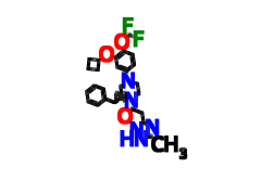 Cc1nc(CC(=O)N2CCN(c3ccc(OC(F)F)c(OC4CCC4)c3)C[C@@H]2Cc2ccccc2)n[nH]1